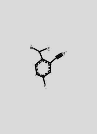 N#Cc1cc(F)ccc1C(Br)Br